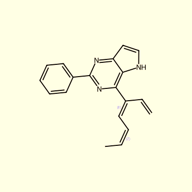 C=C/C(=C\C=C/C)c1nc(-c2ccccc2)nc2cc[nH]c12